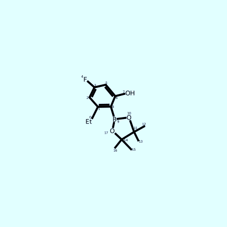 CCc1cc(F)cc(O)c1B1OC(C)(C)C(C)(C)O1